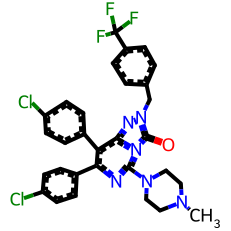 CN1CCN(c2nc(-c3ccc(Cl)cc3)c(-c3ccc(Cl)cc3)c3nn(Cc4ccc(C(F)(F)F)cc4)c(=O)n23)CC1